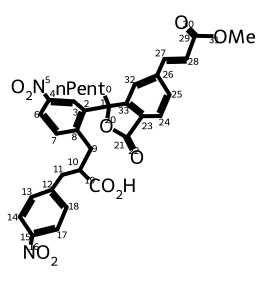 CCCCCC1(c2cc([N+](=O)[O-])ccc2CC(Cc2ccc([N+](=O)[O-])cc2)C(=O)O)OC(=O)c2ccc(/C=C/C(=O)OC)cc21